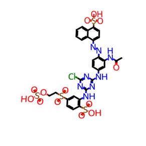 CC(=O)Nc1cc(Nc2nc(Cl)nc(Nc3cc(S(=O)(=O)CCOS(=O)(=O)O)ccc3S(=O)(=O)O)n2)ccc1N=Nc1ccc(S(=O)(=O)O)c2ccccc12